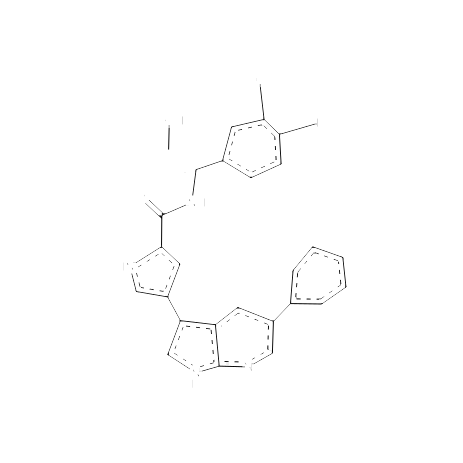 O=C(N[C@H](CO)c1ccc(F)c(Cl)c1)c1cc(-c2c[nH]c3ncc(-c4ccccc4)cc23)c[nH]1